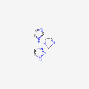 C1=NCN=C1.c1c[nH]cn1.c1c[nH]nn1